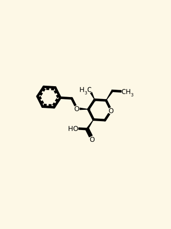 CC[C@H]1OC[C@@H](C(=O)O)[C@@H](OCc2ccccc2)[C@H]1C